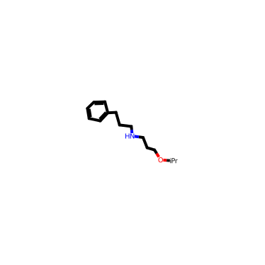 CC(C)OCCCNCCCc1ccccc1